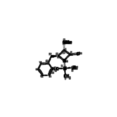 CS[C@@H]1C(=O)N([Si](C)(C)C(C)(C)C)[C@H]1Cc1ccccc1